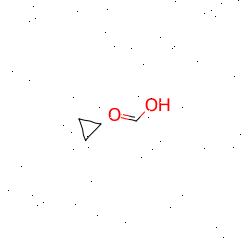 C1CC1.O=CO